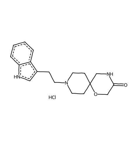 Cl.O=C1COC2(CCN(CCc3c[nH]c4ccccc34)CC2)CN1